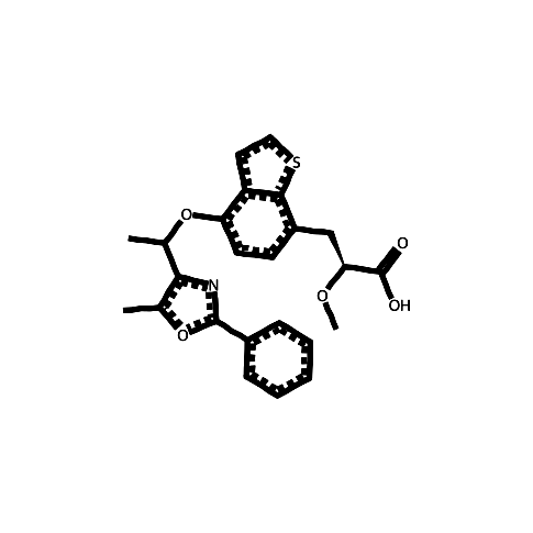 CO[C@@H](Cc1ccc(OC(C)c2nc(-c3ccccc3)oc2C)c2ccsc12)C(=O)O